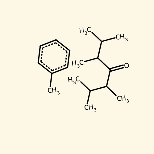 CC(C)C(C)C(=O)C(C)C(C)C.Cc1ccccc1